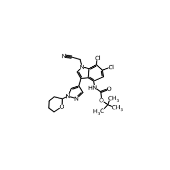 CC(C)(C)OC(=O)Nc1cc(Cl)c(Cl)c2c1c(-c1cnn(C3CCCCO3)c1)cn2CC#N